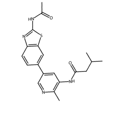 CC(=O)Nc1nc2ccc(-c3cnc(C)c(NC(=O)CC(C)C)c3)cc2s1